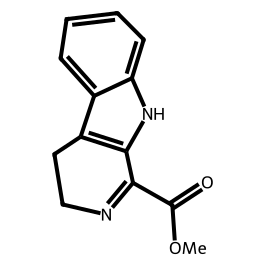 COC(=O)C1=NCCc2c1[nH]c1ccccc21